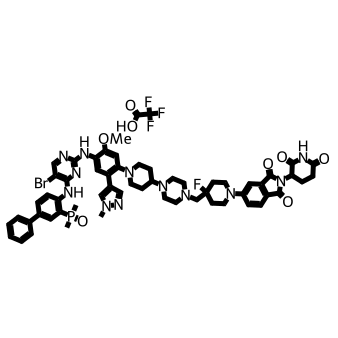 COc1cc(N2CCC(N3CCN(CC4(F)CCN(c5ccc6c(c5)C(=O)N(C5CCC(=O)NC5=O)C6=O)CC4)CC3)CC2)c(-c2cnn(C)c2)cc1Nc1ncc(Br)c(Nc2ccc(-c3ccccc3)cc2P(C)(C)=O)n1.O=C(O)C(F)(F)F